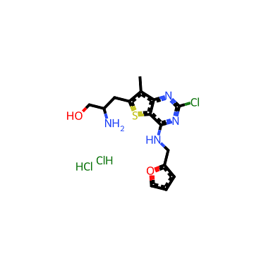 Cc1c(CC(N)CO)sc2c(NCc3ccco3)nc(Cl)nc12.Cl.Cl